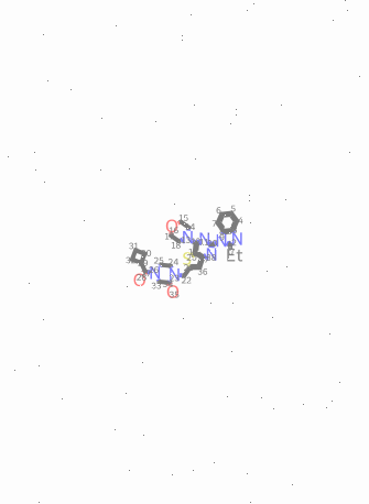 CCc1nc2ccccc2n1-c1nc(N2CCOCC2)c2sc(CN3CCN(C(=O)C4CCC4)CC3=O)cc2n1